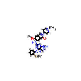 CC(C)Oc1cc2c(cc1Nc1nc(Nc3ccccc3SC(C)C)c3cn[nH]c3n1)C(=O)N(C1CCN(C)CC1)C2